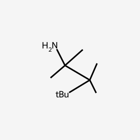 CC(C)(C)C(C)(C)C(C)(C)N